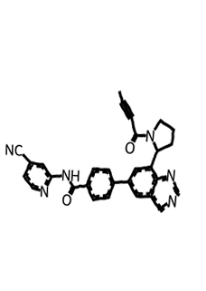 CC#CC(=O)N1CCCC1c1cc(-c2ccc(C(=O)Nc3cc(C#N)ccn3)cc2)cc2cncnc12